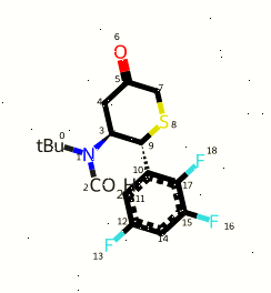 CC(C)(C)N(C(=O)O)[C@H]1CC(=O)CS[C@@H]1c1cc(F)cc(F)c1F